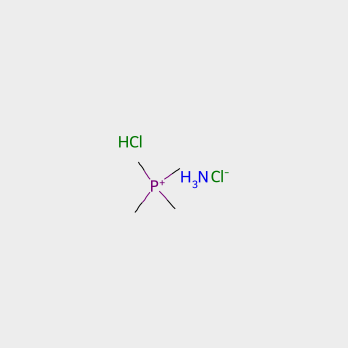 C[P+](C)(C)C.Cl.N.[Cl-]